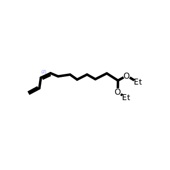 C=C/C=C\CCCCCCC(OCC)OCC